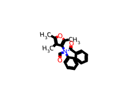 Cc1oc(C)c([N+](C=O)(C(=O)c2ccccc2)c2ccccc2)c1C